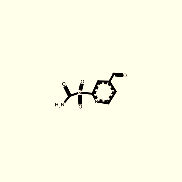 NC(=O)S(=O)(=O)c1cc([C]=O)ccn1